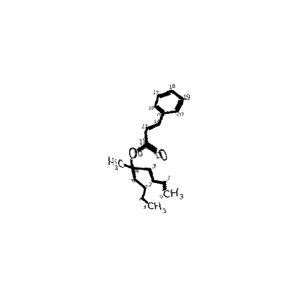 CCCCC(C)(CCCC)OC(=O)C=Cc1ccccc1